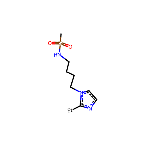 CCc1nccn1CCCCNS(C)(=O)=O